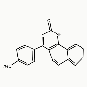 COc1ccc(-c2nc(=O)[nH]c3c2ccc2ccccc23)cc1